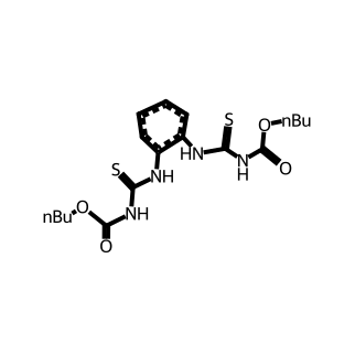 CCCCOC(=O)NC(=S)Nc1ccccc1NC(=S)NC(=O)OCCCC